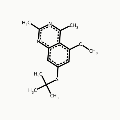 COc1cc(SC(C)(C)C)cc2nc(C)nc(C)c12